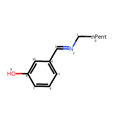 CCCCCCN=Cc1cccc(O)c1